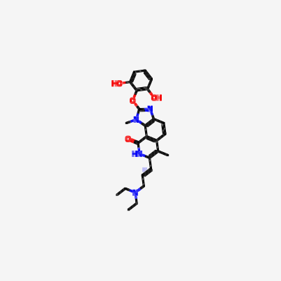 CCN(CC)C/C=C/c1[nH]c(=O)c2c(ccc3nc(Oc4c(O)cccc4O)n(C)c32)c1C